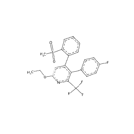 CCOc1cc(-c2ccccc2S(C)(=O)=O)c(-c2ccc(F)cc2)c(C(F)(F)F)n1